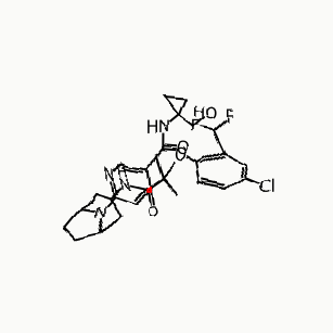 CC(C)(Oc1ccc(Cl)cc1C(F)F)C(=O)NC1CC2CCC(C1)N2c1ccc(C(=O)NC2(CO)CC2)cn1